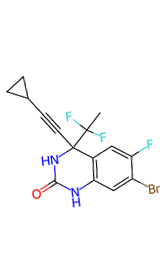 CC(F)(F)C1(C#CC2CC2)NC(=O)Nc2cc(Br)c(F)cc21